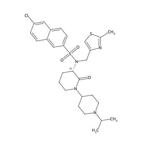 Cc1nc(CN([C@H]2CCCN(C3CCN(C(C)C)CC3)C2=O)S(=O)(=O)c2ccc3cc(Cl)ccc3c2)cs1